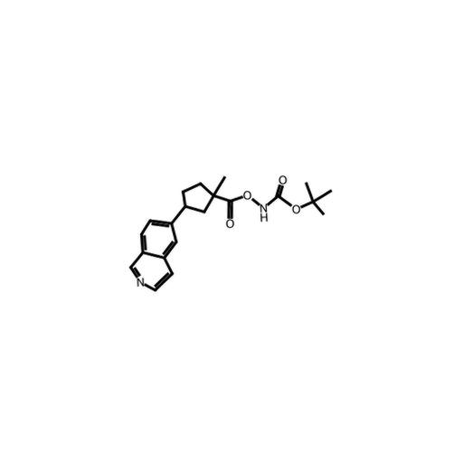 CC(C)(C)OC(=O)NOC(=O)C1(C)CCC(c2ccc3cnccc3c2)C1